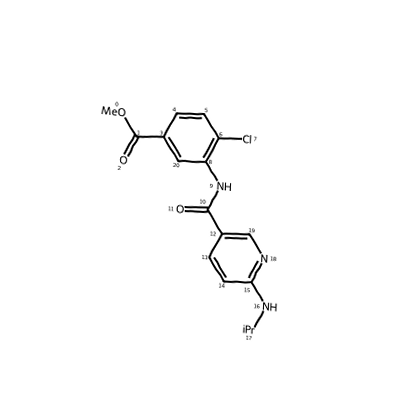 COC(=O)c1ccc(Cl)c(NC(=O)c2ccc(NC(C)C)nc2)c1